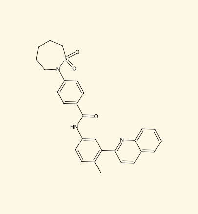 Cc1ccc(NC(=O)c2ccc(N3CCCCCS3(=O)=O)cc2)cc1-c1ccc2ccccc2n1